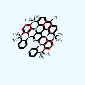 C[Si]1(C)c2ccccc2N(c2nc(N3c4ccccc4[Si](C)(C)c4ccccc43)c(N3c4ccccc4[Si](C)(C)c4ccccc43)c(-c3ccc(C#N)cc3)c2N2c3ccccc3[Si](C)(C)c3ccccc32)c2ccccc21